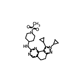 CS(=O)(=O)N1CCC(Nc2ncc3c(n2)-c2c(nn(C4CC4)c2C2CC2)CC3)CC1